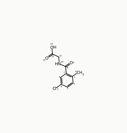 Cc1ccc(Cl)cc1C(=O)NCC(=O)O